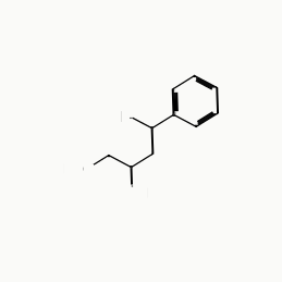 [Li][CH](CC(C)CC)c1ccccc1